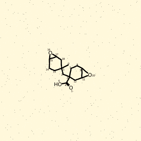 CC1(CC2(C(=O)O)CCC3OC3C2)CCC2OC2C1